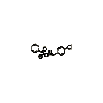 O=S(=O)(ON=Cc1ccc(Cl)cc1)c1ccccc1